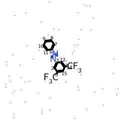 FC(F)(F)c1cc(N=Nc2ccccc2)cc(C(F)(F)F)c1